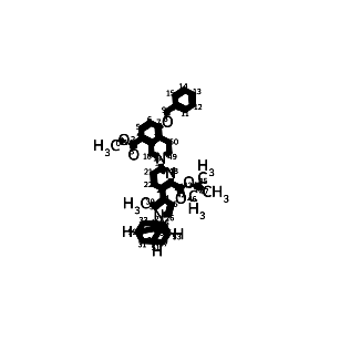 COC(=O)c1ccc(OCc2ccccc2)c2c1CN(c1ccc(-c3ccn(C45C[C@H]6C[C@@H](C4)C[C@@H](C5)C6)c3C)c(C(=O)OC(C)(C)C)n1)CC2